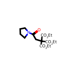 CCOC(=O)C(CC(=O)N1CCCC1)(C(=O)OCC)C(=O)OCC